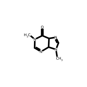 CN1C=NC2C(N=CN2C)C1=O